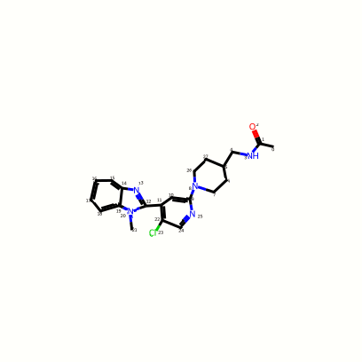 CC(=O)NCC1CCN(c2cc(-c3nc4ccccc4n3C)c(Cl)cn2)CC1